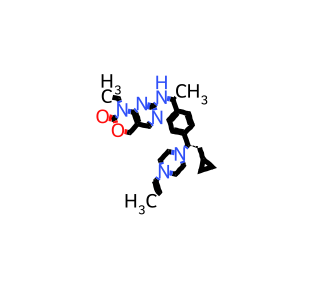 CC=CN1CCN([C@@H](CC2CC2)c2ccc([C@H](C)Nc3ncc4c(n3)N(CC)C(=O)OC4)cc2)CC1